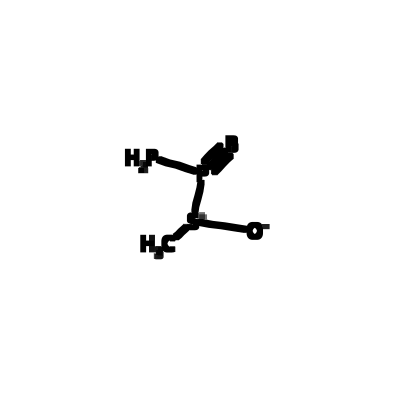 B#P(P)[S+](C)[O-]